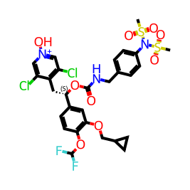 CS(=O)(=O)N(c1ccc(CNC(=O)O[C@@H](Cc2c(Cl)c[n+](O)cc2Cl)c2ccc(OC(F)F)c(OCC3CC3)c2)cc1)S(C)(=O)=O